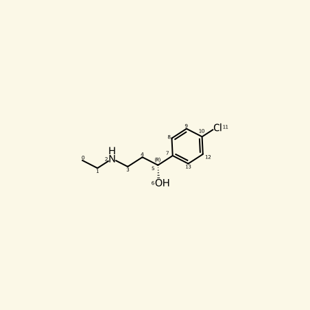 CCNCC[C@@H](O)c1ccc(Cl)cc1